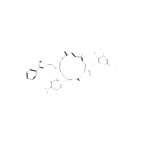 CC[C@H]1OC(=O)C[C@@H](O)[C@H](C)[C@@H](O[C@@H]2O[C@H](C)[C@@H](O)C(N(C)C)C2O)[C@@H](CCn2cc(-c3ccccc3)nn2)C[C@@H](C)C(=O)/C=C/C(C)=C/[C@@H]1CO[C@@H]1OC(C)[C@@H](O)[C@H](OC)C1OC